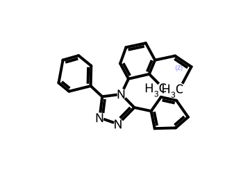 C/C=C\c1cccc(-n2c(-c3ccccc3)nnc2-c2ccccc2)c1C